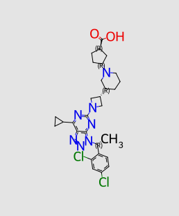 C[C@H](c1ccc(Cl)cc1Cl)n1nnc2c(C3CC3)nc(N3CC([C@H]4CCCN([C@@H]5CC[C@@H](C(=O)O)C5)C4)C3)nc21